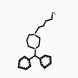 NCCCCN1CCCN(C(c2ccccc2)c2ccccc2)CC1